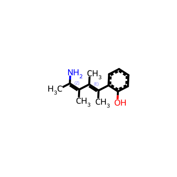 C/C(N)=C(C)/C(C)=C(\C)c1ccccc1O